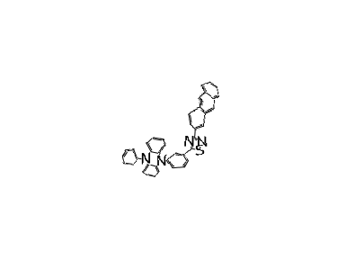 c1ccc(N2c3ccccc3N(c3cccc(-c4nc(-c5ccc6cc7ccccc7cc6c5)ns4)c3)c3ccccc32)cc1